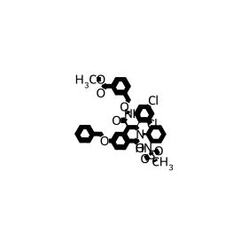 COC(=O)c1cccc(CONC(=O)[C@@H]2c3cc(OCc4ccccc4)ccc3C(=O)N([C@H]3CCCC[C@@H]3NS(C)(=O)=O)[C@H]2c2ccc(Cl)cc2Cl)c1